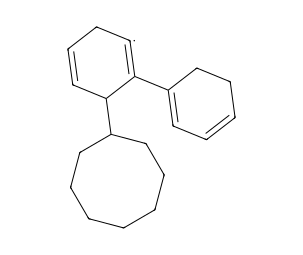 [C]1=C(C2=CC=CCC2)C(C2CCCCCCC2)C=CC1